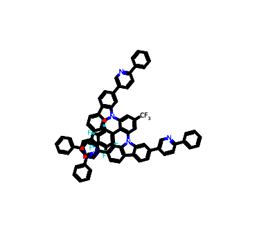 Fc1c(F)c(F)c(-c2c(-n3c4cc(-c5ccc(-c6ccccc6)nc5)ccc4c4ccc(-c5ccc(-c6ccccc6)nc5)cc43)cc(C(F)(F)F)cc2-n2c3cc(-c4ccc(-c5ccccc5)nc4)ccc3c3ccc(-c4ccc(-c5ccccc5)nc4)cc32)c(F)c1F